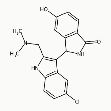 CN(C)Cc1[nH]c2ccc(Cl)cc2c1C1NC(=O)c2ccc(O)cc21